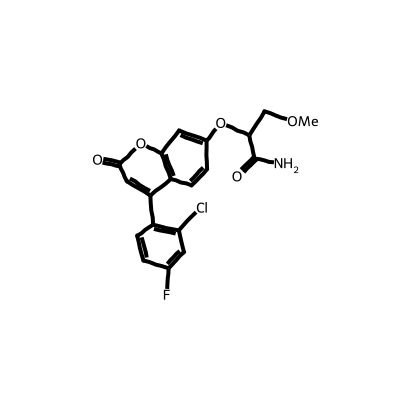 COCC(Oc1ccc2c(-c3ccc(F)cc3Cl)cc(=O)oc2c1)C(N)=O